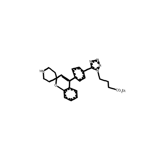 CCOC(=O)CCCn1nnnc1-c1ccc(C2=CC3(CCNCC3)Oc3ccccc32)cc1